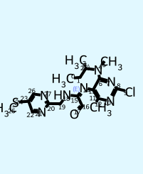 CC[C@@H](C)N(C)c1nc(Cl)nc(C)c1/N=C(\C=O)NCc1ncc(SC)cn1